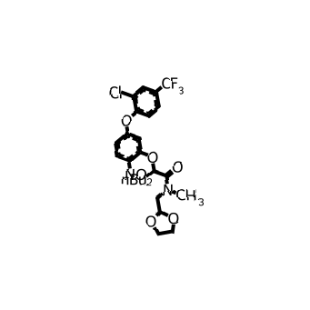 CCCCC(Oc1cc(Oc2ccc(C(F)(F)F)cc2Cl)ccc1[N+](=O)[O-])C(=O)N(C)CC1OCCO1